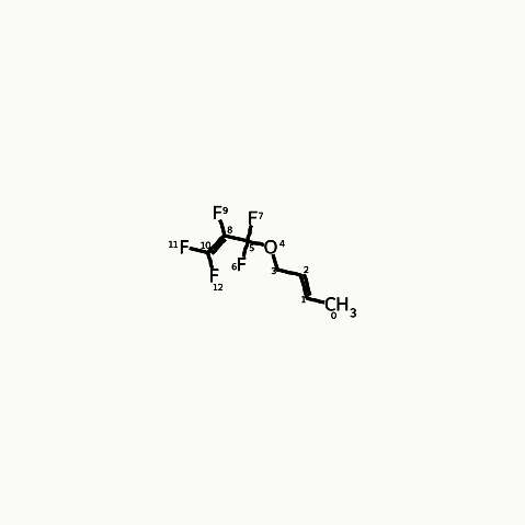 CC=CCOC(F)(F)C(F)=C(F)F